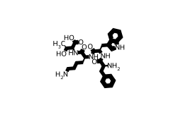 C[C@@H](O)[C@H](NC(=O)[C@H](CCCCN)NC(=O)[C@@H](Cc1c[nH]c2ccccc12)NC(=O)[C@@H](N)Cc1ccccc1)C(=O)O